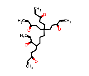 C=CC(=O)CCC(CCCC(CCC(=O)C=C)(CCC(=O)C=C)CCC(=O)C=C)C(=O)C=C